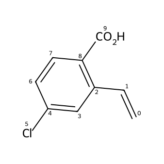 C=Cc1cc(Cl)ccc1C(=O)O